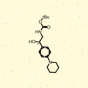 CC(C)(C)OC(=O)NC[C@H](O)c1ccc(N2CCCCC2)cc1